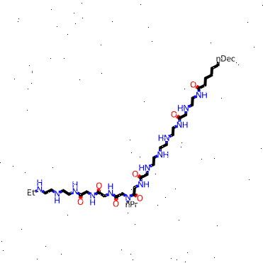 CCCCCCCCCCCCCCCC(=O)NCCNCC(=O)NCCNCCNCCNCC(=O)NCC(=O)N(CCC)CC(=O)NCC(=O)NCC(=O)NCCNCCNCC